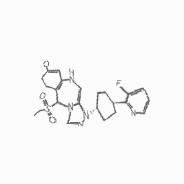 CS(=O)(=O)C1C2=C(C=C(Cl)CC2)NC=C2N1C=NN2[C@H]1CC[C@H](c2ncccc2F)CC1